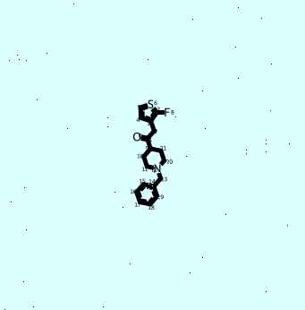 O=C(Cc1ccsc1F)C1CCN(Cc2ccccc2)CC1